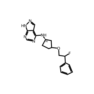 FC(COC1CC[C@@H](Nc2ncnc3[nH]ncc23)C1)c1ccccc1